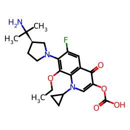 CCOc1c(N2CC[C@@H](C(C)(C)N)C2)c(F)cc2c(=O)c(OC(=O)O)cn(C3CC3)c12